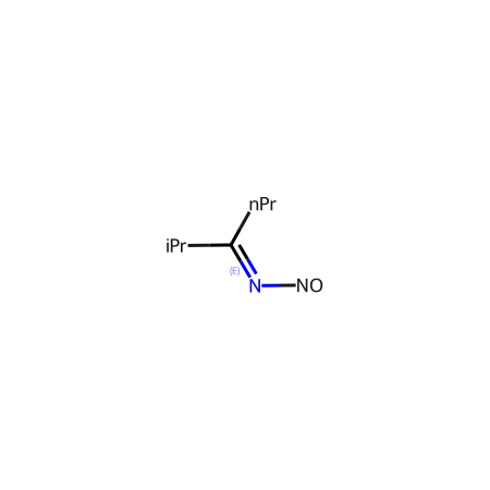 CCC/C(=N\N=O)C(C)C